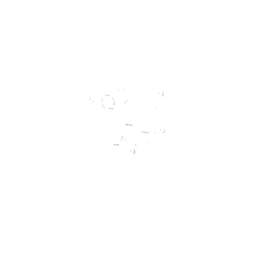 CC(C)C[C@H](NC(=O)[C@@H]1CCCN1C(=O)[C@@H](N)CCCCN)C(=O)NCC(=O)N[C@@H](CC(C)C)C(=O)c1ccc([N+](=O)[O-])cc1[N+](=O)[O-]